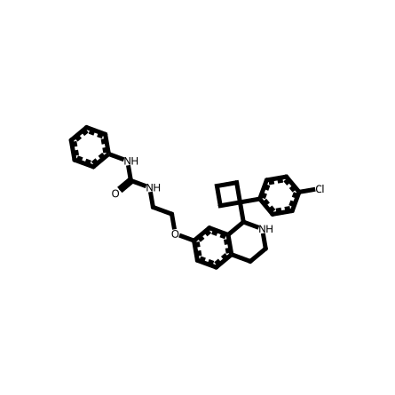 O=C(NCCOc1ccc2c(c1)C(C1(c3ccc(Cl)cc3)CCC1)NCC2)Nc1ccccc1